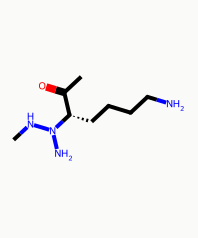 CNN(N)[C@@H](CCCCN)C(C)=O